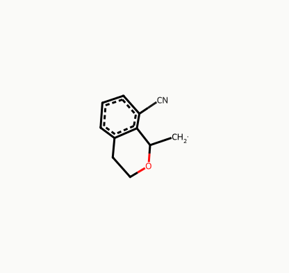 [CH2]C1OCCc2cccc(C#N)c21